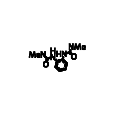 CNC(=O)Nc1ccccc1NC(=O)NC